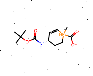 CC(C)(C)OC(=O)N[C@@H]1C=C[PH](C)(C(=O)O)CC1